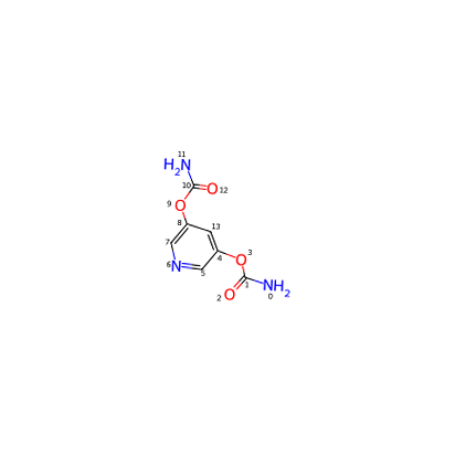 NC(=O)Oc1cncc(OC(N)=O)c1